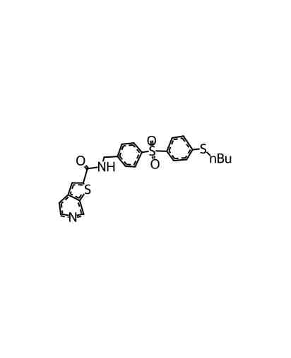 CCCCSc1ccc(S(=O)(=O)c2ccc(CNC(=O)c3cc4ccncc4s3)cc2)cc1